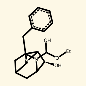 CCOC(O)N1C2CC3CC1[C@H](O)C2N(Cc1ccccc1)C3